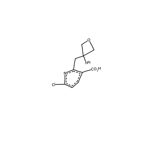 CCCC1(Cc2nc(Cl)ccc2C(=O)O)COC1